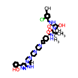 C#Cc1ccc(CNC(=O)[C@@H]2C[C@@H](O)CN2C(=O)[C@@H](NC(=O)[C@H]2CCC3(CC2)C[C@H](N2CCC(N4CCC(N5CCN6c7cc(-c8ccccc8O)nnc7NC[C@H]6C5)CC4)CC2)C3)C(C)(C)C)c(Cl)c1